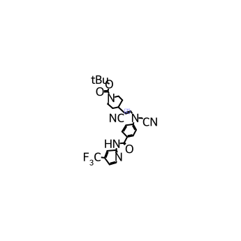 CC(C)(C)OC(=O)N1CCC(/C(C#N)=C/N(CC#N)c2ccc(C(=O)Nc3cc(C(F)(F)F)ccn3)cc2)CC1